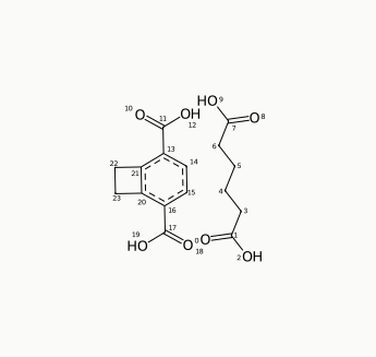 O=C(O)CCCCC(=O)O.O=C(O)c1ccc(C(=O)O)c2c1CC2